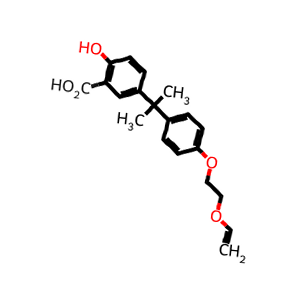 C=COCCOc1ccc(C(C)(C)c2ccc(O)c(C(=O)O)c2)cc1